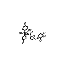 CC(C)[C@@H](NC(=O)c1ccc(Cn2ccc(=O)[nH]c2=O)o1)C(O)(c1ccc(F)cc1)c1ccc(F)cc1